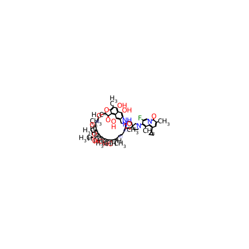 CO[C@H]1/C=C/O[C@@]2(C)Oc3c(C)c(O)c4c(O)c(c(CN5CCC6(CC5)CCN(c5c(F)cn7c(=O)c(C)cc(C8CC8)c7c5C)C6)c(O)c4c3C2=O)NC(=O)/C(C)=C\C=C\[C@H](C)[C@H](O)[C@@H](C)[C@@H](O)[C@@H](C)[C@H](OC(C)=O)[C@@H]1C